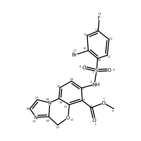 COC(=O)c1c(NS(=O)(=O)c2ccc(F)cc2Br)ccc2c1OCc1nccn1-2